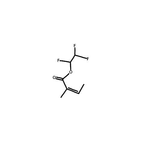 CC=C(C)C(=O)OC(F)C(F)F